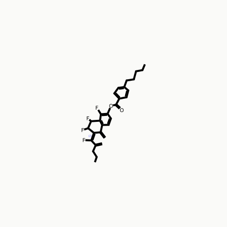 C=C(CCC)/C(F)=C1\C(=C)c2ccc(OC(=O)c3ccc(CCCCC)cc3)c(F)c2C(F)C1F